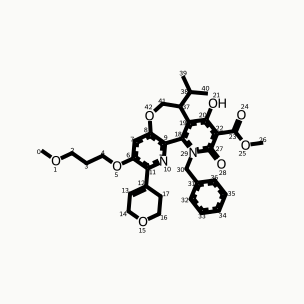 COCCCOc1cc2c(nc1C1=CCOCC1)-c1c(c(O)c(C(=O)OC)c(=O)n1Cc1ccccc1)C(C(C)C)CO2